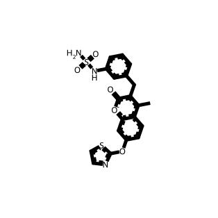 Cc1c(Cc2cccc(NS(N)(=O)=O)c2)c(=O)oc2cc(Oc3nccs3)ccc12